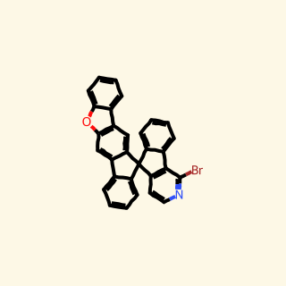 Brc1nccc2c1-c1ccccc1C21c2ccccc2-c2cc3oc4ccccc4c3cc21